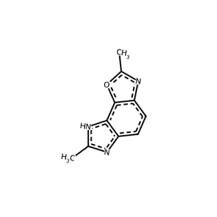 Cc1nc2ccc3nc(C)oc3c2[nH]1